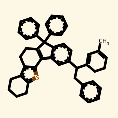 CC1=CCCC(C(Cc2ccccc2)c2ccc3c(c2)C2=C(CCc4c2sc2c4CCCC2)C3(c2ccccc2)c2ccccc2)=C1